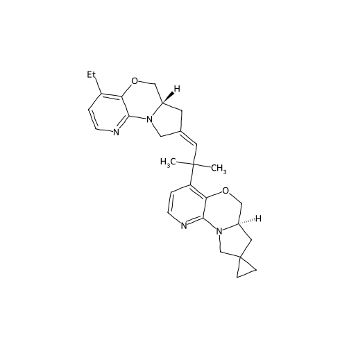 CCc1ccnc2c1OC[C@@H]1C/C(=C/C(C)(C)c3ccnc4c3OC[C@H]3CC5(CC5)CN43)CN21